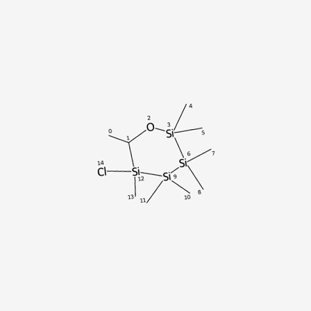 CC1O[Si](C)(C)[Si](C)(C)[Si](C)(C)[Si]1(C)Cl